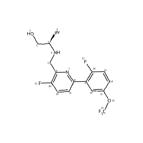 CC(C)[C@H](CO)NCc1nc(-c2cc(OC(F)(F)F)ccc2F)ccc1F